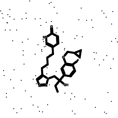 CCC(O)(Cn1nncc1CCCCc1ccc(=O)[nH]c1)c1ccc(F)c(OCC2CC2)c1